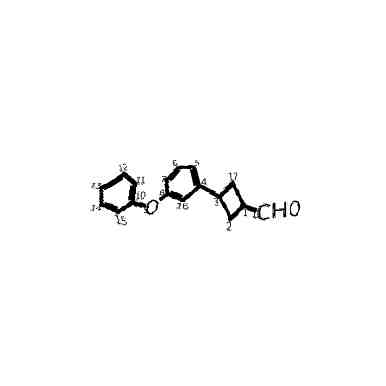 O=CC1CC(c2cccc(Oc3ccccc3)c2)C1